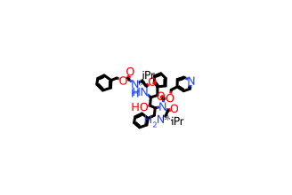 CC(C)[C@H](N)C(=O)N(C(=O)OCc1ccncc1)C(Cc1ccccc1)C(O)C(Cc1ccccc1)NC(=O)[C@@H](NC(=O)OCc1ccccc1)C(C)C